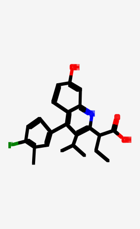 CCC(C(=O)O)c1nc2cc(O)ccc2c(-c2ccc(F)c(C)c2)c1C(C)C